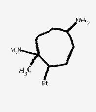 CCC1CCC(N)CCC1(C)N